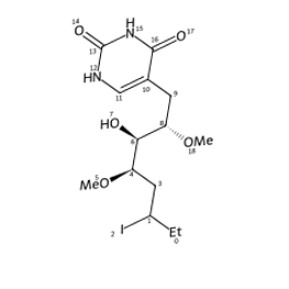 CCC(I)C[C@@H](OC)[C@@H](O)[C@H](Cc1c[nH]c(=O)[nH]c1=O)OC